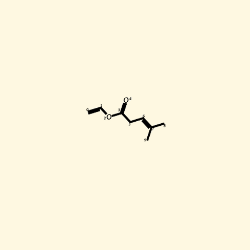 C=COC(=O)CC=C(C)C